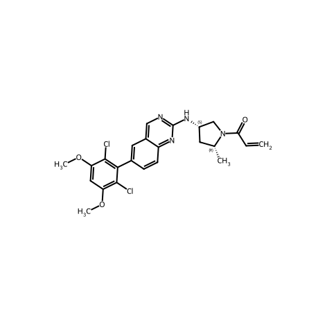 C=CC(=O)N1C[C@@H](Nc2ncc3cc(-c4c(Cl)c(OC)cc(OC)c4Cl)ccc3n2)C[C@H]1C